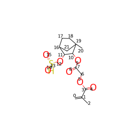 C=C(C)C(=O)OCC(=O)OC1C(O[SH](=O)=O)C2CCC1(C)C2